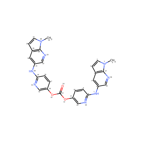 Cn1ccc2cc(Nc3ccc(OC(=O)Oc4ccc(Nc5cnc6c(ccn6C)c5)nc4)cn3)cnc21